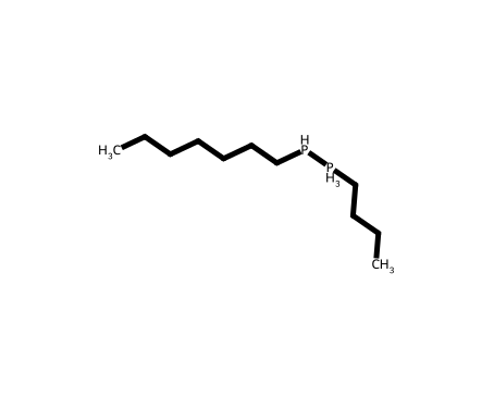 CCCCCCCP[PH3]CCCC